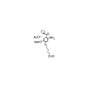 COc1cc(C(=O)N2CCC[C@H]2COC(C)=O)c(N)cc1OCCCCCC=O